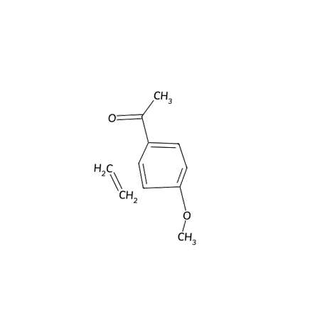 C=C.COc1ccc(C(C)=O)cc1